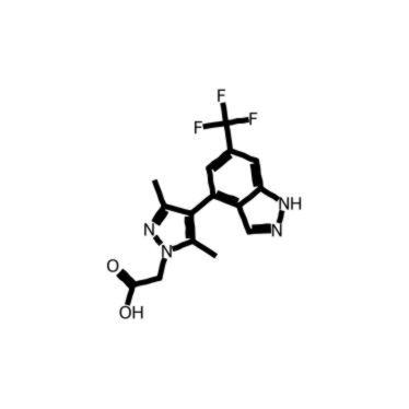 Cc1nn(CC(=O)O)c(C)c1-c1cc(C(F)(F)F)cc2[nH]ncc12